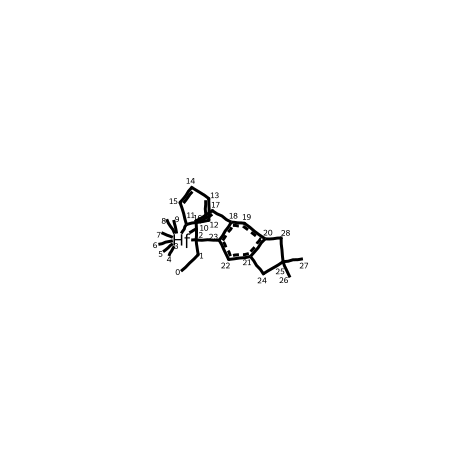 CC[C]1([Hf]([CH3])([CH3])([CH3])([CH3])([CH3])([CH3])([CH3])[CH]2C=CC=C2)C=Cc2cc3c(cc21)CC(C)(C)C3